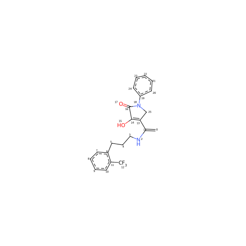 C=C(NCCCc1ccccc1C(F)(F)F)C1=C(O)C(=O)N(c2ccccc2)C1